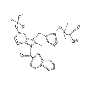 Cc1c(Cc2cccc(OC(C)(C)C(=O)O)c2)c2cc(OC(F)(F)F)ccc2n1C(=O)c1ccc2ccccc2c1